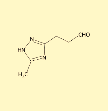 Cc1nc(CCC=O)n[nH]1